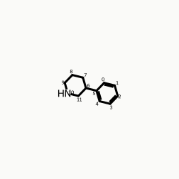 [c]1ccccc1C1CCCNC1